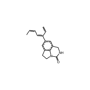 C=C/C(=C\C=C/C)c1cc2c3c(c1)CNC(=O)N3CC2